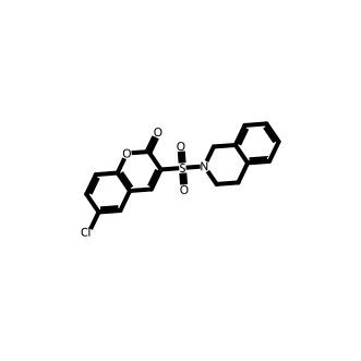 O=c1oc2ccc(Cl)cc2cc1S(=O)(=O)N1CCc2ccccc2C1